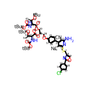 [C-]#[N+]c1c(N)nc(SCc2coc(-c3ccc(Cl)cc3)n2)c(C#N)c1-c1ccc(OC[C@@H](COC(=O)[C@@H](NC(=O)OC(C)(C)C)[C@@H](C)OC(C)(C)C)OC(=O)[C@@H](NC(=O)OC(C)(C)C)[C@@H](C)OC(C)(C)C)cc1